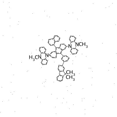 CN1c2ccccc2N(c2ccc3c(-c4cccc5ccccc45)c4cc(N5c6ccccc6N(C)c6ccccc65)ccc4c(-c4cccc(-c5ccc6c(c5)C(C)(C)c5ccccc5-6)c4)c3c2)c2ccccc21